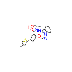 CCOc1ccc(-c2cc(C)cs2)cc1C(=O)NC(CO)Cc1c[nH]c2ccccc12